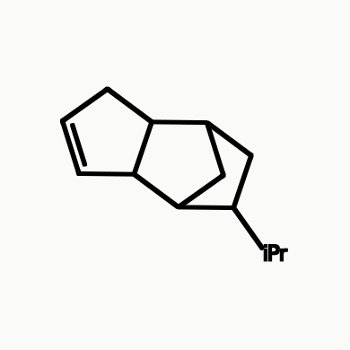 CC(C)C1CC2CC1C1C=CCC21